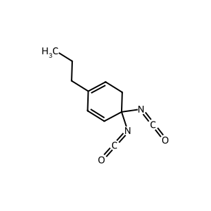 CCCC1=CCC(N=C=O)(N=C=O)C=C1